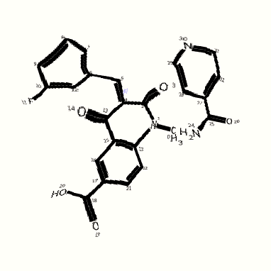 CN1C(=O)/C(=C/c2cccc(F)c2)C(=O)c2cc(C(=O)O)ccc21.NC(=O)c1ccncc1